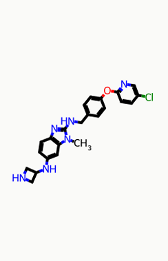 Cn1c(NCc2ccc(Oc3ccc(Cl)cn3)cc2)nc2ccc(NC3CNC3)cc21